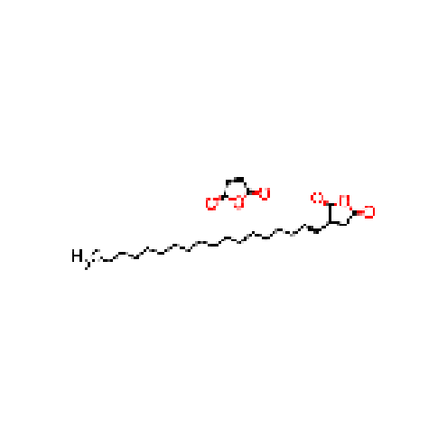 CCCCCCCCCCCCCCCCC=CC1CC(=O)OC1=O.O=C1C=CC(=O)O1